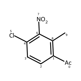 CC(=O)c1ccc(Cl)c([N+](=O)[O-])c1C